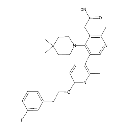 Cc1nc(OCCc2cccc(F)c2)ccc1-c1cnc(C)c(CC(=O)N=O)c1N1CCC(C)(C)CC1